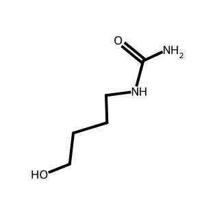 NC(=O)NCCCCO